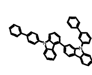 c1ccc(-c2ccc(-n3c4ccccc4c4c(-c5ccc6c7ccccc7n(-c7cccc(-c8ccccc8)c7)c6c5)cccc43)cc2)cc1